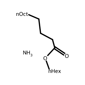 CCCCCCCCCCCC(=O)OCCCCCC.N